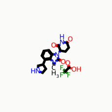 Cn1c(=O)n(C2CCC(=O)NC2=O)c2cccc(C3CCNC3)c21.O=C(O)C(F)(F)F